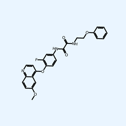 COc1ccc2nccc(Oc3ccc(NC(=O)C(=O)NCCOc4ccccc4)cc3F)c2c1